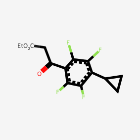 CCOC(=O)CC(=O)c1c(F)c(F)c(C2CC2)c(F)c1F